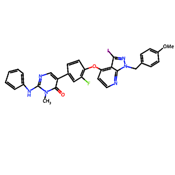 COc1ccc(Cn2nc(I)c3c(Oc4ccc(-c5cnc(Nc6ccccc6)n(C)c5=O)cc4F)ccnc32)cc1